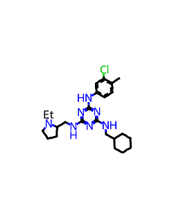 CCN1CCCC1CNc1nc(NCC2CCCCC2)nc(Nc2ccc(C)c(Cl)c2)n1